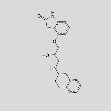 O=C1Cc2c(cccc2OCC(O)CNC2CCc3ccccc3C2)N1